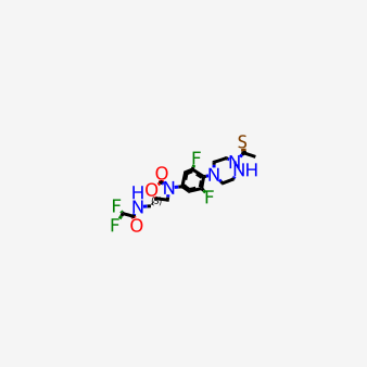 CC(=S)N1CCN(c2c(F)cc(N3C[C@H](CNC(=O)C(F)F)OC3=O)cc2F)CCN1